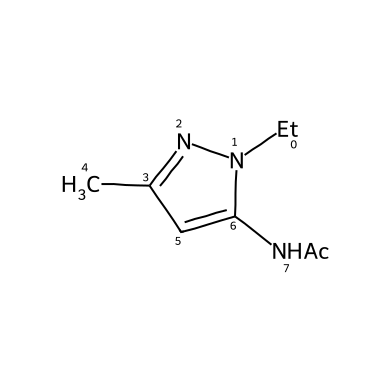 CCn1nc(C)cc1NC(C)=O